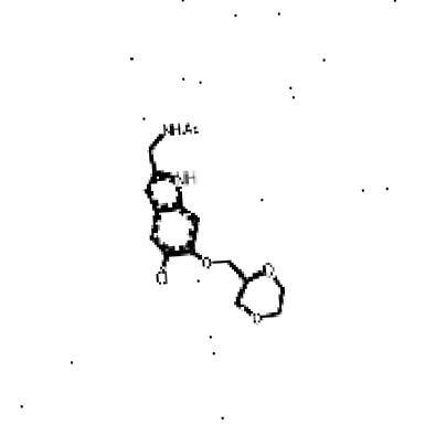 CC(=O)NCc1cc2cc(Cl)c(OCC3COCCO3)cc2[nH]1